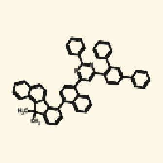 CC1(C)c2cccc(-c3ccc(-c4cc(-c5ccc(-c6ccccc6)cc5-c5ccccc5)nc(-c5ccccc5)n4)c4ccccc34)c2-c2ccc3ccccc3c21